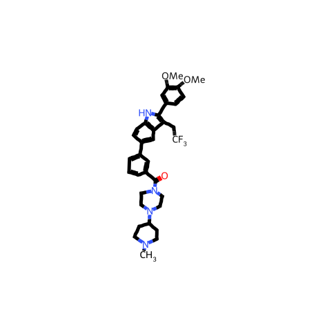 COc1ccc(-c2[nH]c3ccc(-c4cccc(C(=O)N5CCN(C6CCN(C)CC6)CC5)c4)cc3c2CC(F)(F)F)cc1OC